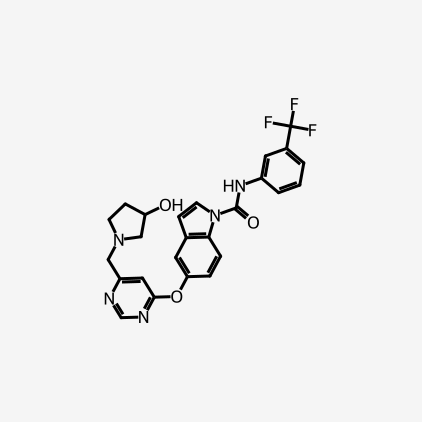 O=C(Nc1cccc(C(F)(F)F)c1)n1ccc2cc(Oc3cc(CN4CCC(O)C4)ncn3)ccc21